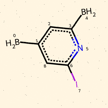 Bc1cc(B)nc(I)c1